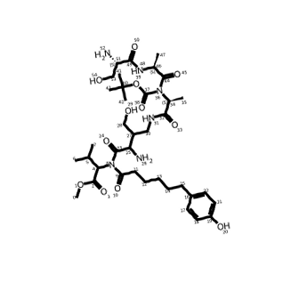 COC(=O)C(C(C)C)N(C(=O)CCCCCc1ccc(O)cc1)C(=O)C(N)C(CO)CNC(=O)[C@H](C)N(C(=O)OC(C)(C)C)C(=O)[C@H](C)NC(=O)[C@@H](N)CO